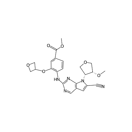 COC(=O)c1ccc(Nc2ncc3cc(C#N)n([C@@H]4COC[C@@H]4OC)c3n2)c(OC2COC2)c1